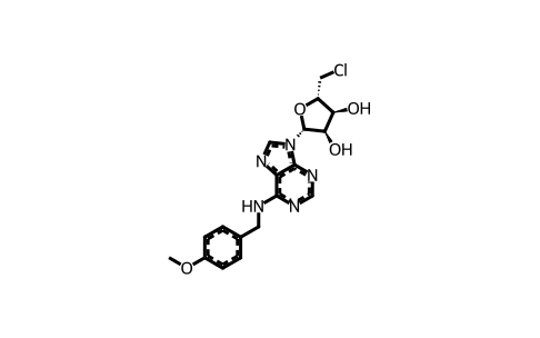 COc1ccc(CNc2ncnc3c2ncn3[C@@H]2O[C@H](CCl)[C@@H](O)[C@H]2O)cc1